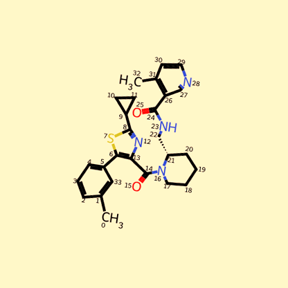 Cc1cccc(-c2sc(C3CC3)nc2C(=O)N2CCCC[C@H]2CNC(=O)c2cnccc2C)c1